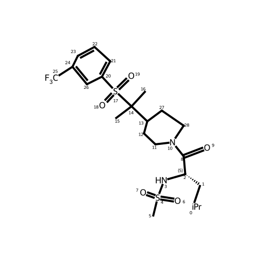 CC(C)C[C@H](NS(C)(=O)=O)C(=O)N1CCC(C(C)(C)S(=O)(=O)c2cccc(C(F)(F)F)c2)CC1